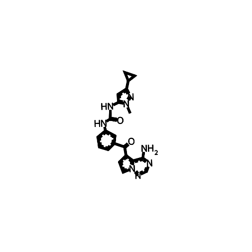 Cn1nc(C2CC2)cc1NC(=O)Nc1cccc(C(=O)c2ccn3ncnc(N)c23)c1